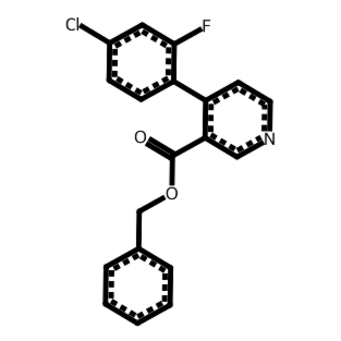 O=C(OCc1ccccc1)c1cnccc1-c1ccc(Cl)cc1F